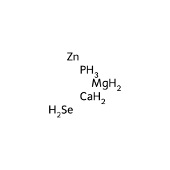 P.[CaH2].[MgH2].[SeH2].[Zn]